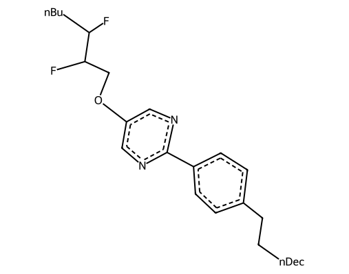 CCCCCCCCCCCCc1ccc(-c2ncc(OCC(F)C(F)CCCC)cn2)cc1